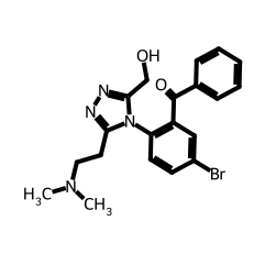 CN(C)CCc1nnc(CO)n1-c1ccc(Br)cc1C(=O)c1ccccc1